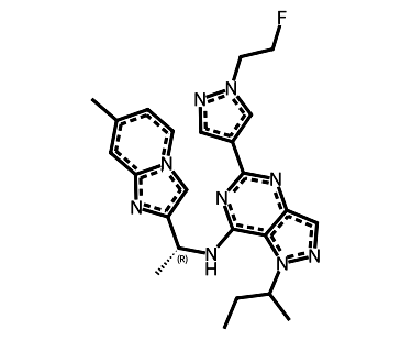 CCC(C)n1ncc2nc(-c3cnn(CCF)c3)nc(N[C@H](C)c3cn4ccc(C)cc4n3)c21